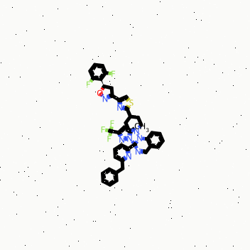 Cc1cc(C(F)(F)F)nn1C1(c2cccc(Cc3ccccc3)n2)N=Cc2ccccc2N1N1CCC(c2nc(C3=NO[C@H](c4c(F)cccc4F)C3)cs2)CC1